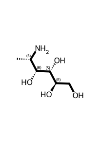 C[C@H](N)[C@@H](O)[C@H](O)[C@H](O)CO